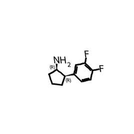 N[C@@H]1CCC[C@@H]1c1ccc(F)c(F)c1